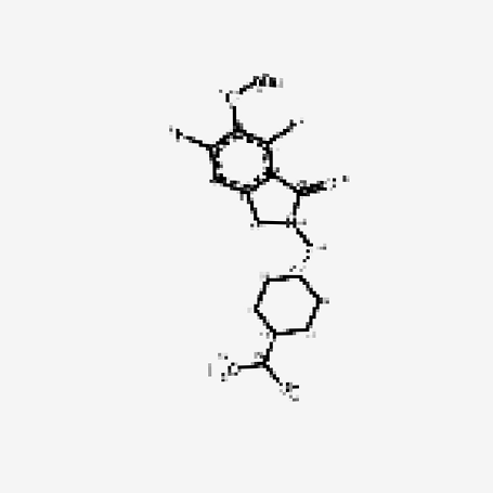 CCCCOc1c(F)cc2c(c1F)C(=O)N(C[C@H]1CC[C@H](C(C)O)CC1)C2